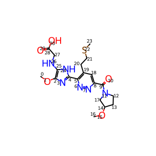 COc1nc(-c2nnc(C(=O)N3CCC(OC)C3)cc2CCSC)[nH]c1NCC(=O)O